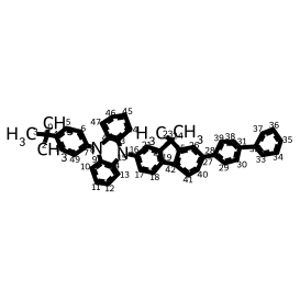 CC(C)(C)c1ccc(N2c3ccccc3N(c3ccc4c(c3)C(C)(C)c3cc(-c5ccc(-c6ccccc6)cc5)ccc3-4)c3ccccc32)cc1